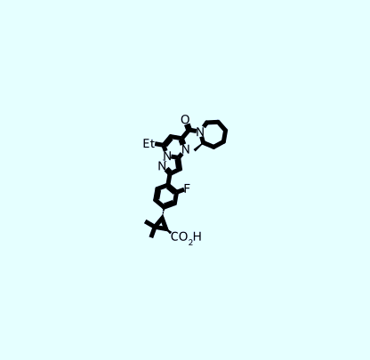 CCc1cc(C(=O)N2CCCCC[C@H]2C)nc2cc(-c3ccc([C@@H]4[C@@H](C(=O)O)C4(C)C)cc3F)nn12